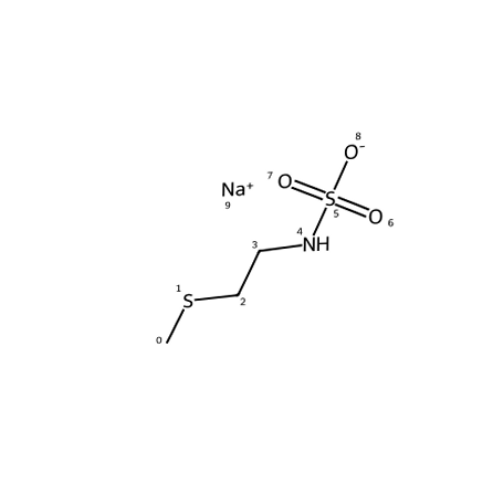 CSCCNS(=O)(=O)[O-].[Na+]